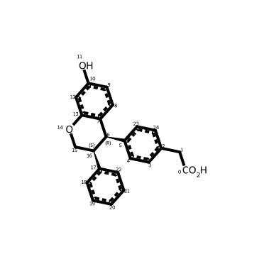 O=C(O)Cc1ccc([C@@H]2c3ccc(O)cc3OC[C@@H]2c2ccccc2)cc1